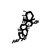 C[C@H]1[C@H](C)CC[C@@]2(C)[C@@H]1C1=CC[C@@H]3[C@@]4(C)CC[C@H](O)C(C)(C)[C@@H]4CC[C@@]3(C)[C@]1(C)C[C@@H]2O